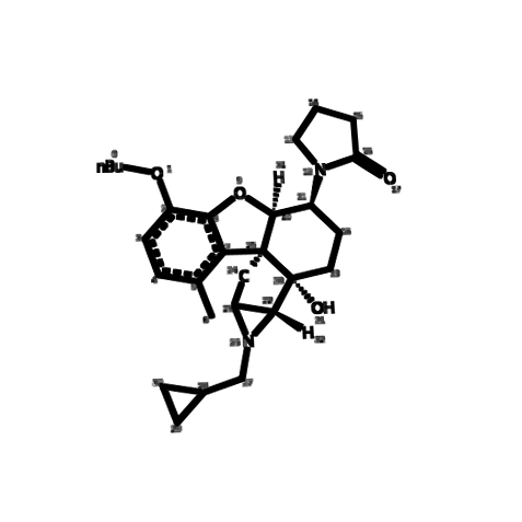 CCCCOc1ccc(C)c2c1O[C@H]1[C@@H](N3CCCC3=O)CC[C@@]3(O)[C@H]4C(C[C@]213)N4CC1CC1